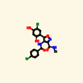 CCNC(=O)c1noc(-c2cc(Cl)c(O)cc2O)c1NC(=O)c1ccc(Br)cc1